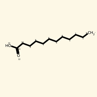 [CH2]CCCCCCCCCCC(=O)O